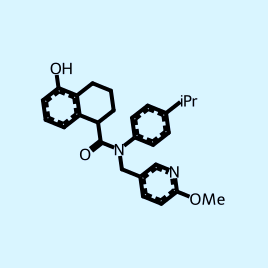 COc1ccc(CN(C(=O)C2CCCc3c(O)cccc32)c2ccc(C(C)C)cc2)cn1